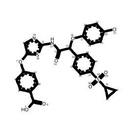 O=C(O)c1ccc(Oc2cnc(NC(=O)C(Oc3ccc(Cl)cc3)c3ccc(S(=O)(=O)C4CC4)cc3)s2)cc1